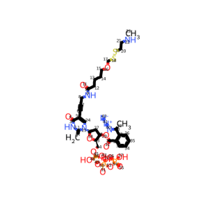 C=C1NC(=O)C(C#CCNC(=O)CCCCOCSSCCNC)=CN1[C@H]1CC(OC(=O)c2ccccc2C(C)N=[N+]=[N-])[C@@H](COP(=O)(O)OP(=O)(O)OP(=O)(O)O)O1